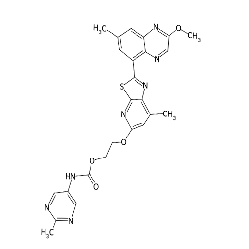 COc1cnc2c(-c3nc4c(C)cc(OCCOC(=O)Nc5cnc(C)nc5)nc4s3)cc(C)cc2n1